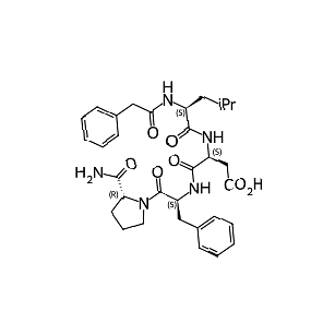 CC(C)C[C@H](NC(=O)Cc1ccccc1)C(=O)N[C@@H](CC(=O)O)C(=O)N[C@@H](Cc1ccccc1)C(=O)N1CCC[C@@H]1C(N)=O